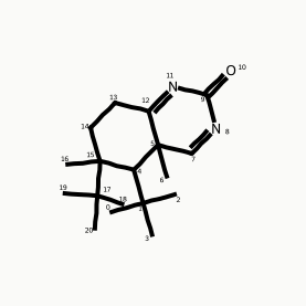 CC(C)(C)C1C2(C)C=NC(=O)N=C2CCC1(C)C(C)(C)C